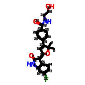 CC1(C)O/C(=C2/C(=O)Nc3cc(F)ccc32)C=C1c1ccc(C(=O)NCCO)cc1